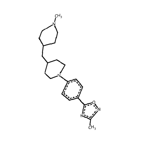 Cc1noc(-c2ccc(N3CCC(CC4CCN(C)CC4)CC3)cc2)n1